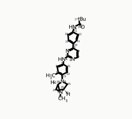 Cc1cc(Nc2nccc(-c3ccc(NC(=O)C(C)(C)C)cc3)n2)ccc1N1C[C@@H]2C[C@H]1CN2C